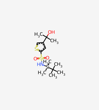 CC(C)(O)c1csc(S(=O)(=O)N[Si](C)(C)C(C)(C)C)c1